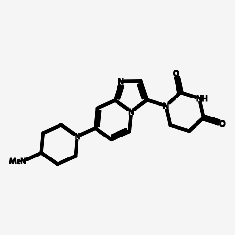 CNC1CCN(c2ccn3c(N4CCC(=O)NC4=O)cnc3c2)CC1